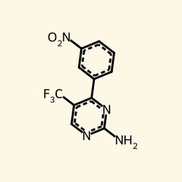 Nc1ncc(C(F)(F)F)c(-c2cccc([N+](=O)[O-])c2)n1